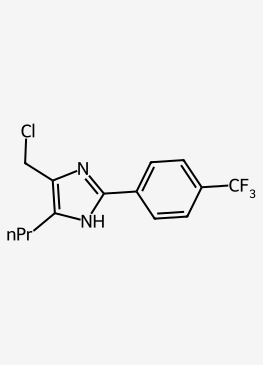 CCCc1[nH]c(-c2ccc(C(F)(F)F)cc2)nc1CCl